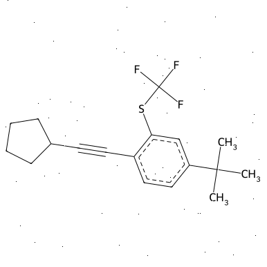 CC(C)(C)c1ccc(C#CC2CCCC2)c(SC(F)(F)F)c1